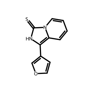 S=c1[nH]c(-c2ccoc2)c2ccccn12